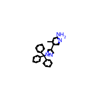 Cc1cc(N)ncc1-c1cnn(C(c2ccccc2)(c2ccccc2)c2ccccc2)c1